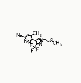 COCCn1cc(-c2nnc(C#N)cc2C)c(C(F)(F)F)n1